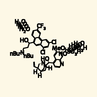 C=C[C@H]1C[N@]2CC[C@H]1C[C@H]2[C@H](O)c1ccnc2ccc(OC)cc12.CCCCN(CCCC)CCC(O)c1cc2c(Cl)cc(Cl)cc2c2cc(C(F)(F)F)ccc12.O.O.O.O.O.O.O.O=S(=O)(O)O.O=S(=O)(O)O